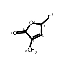 CC1=CC(F)OC1=O